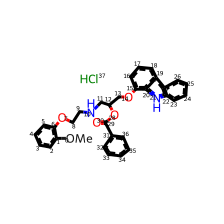 COc1ccccc1OCCNCC(COc1cccc2c1[nH]c1ccccc12)OC(=O)c1ccccc1.Cl